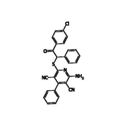 N#Cc1c(N)nc(SC(C(=O)c2ccc(Cl)cc2)c2ccccc2)c(C#N)c1-c1ccccc1